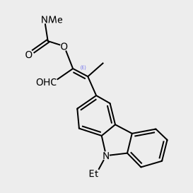 CCn1c2ccccc2c2cc(/C(C)=C(\C=O)OC(=O)NC)ccc21